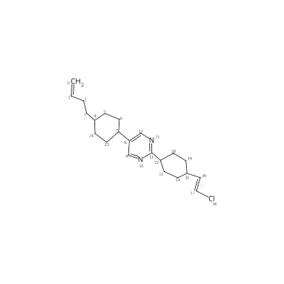 C=CCCC1CCC(c2cnc(C3CCC(/C=C/Cl)CC3)nc2)CC1